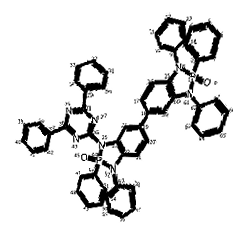 O=P1(c2ccccc2)N(c2ccccc2)c2ccc(-c3ccc4c(c3)N(c3nc(-c5ccccc5)nc(-c5ccccc5)n3)P(=O)(c3ccccc3)N4c3ccccc3)cc2N1c1ccccc1